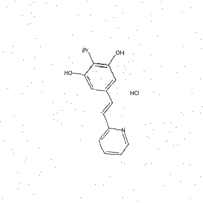 CC(C)c1c(O)cc(C=Cc2ccccn2)cc1O.Cl